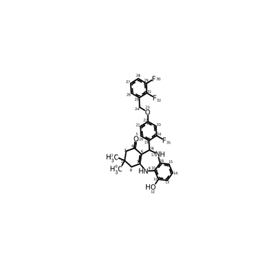 CC1(C)CC(=O)C2=C(C1)Nc1c(O)cccc1NC2c1ccc(OCc2cccc(F)c2F)cc1F